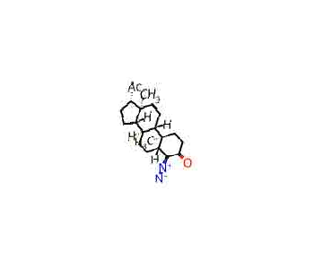 CC(=O)[C@H]1CC[C@H]2[C@@H]3CC[C@H]4C(=[N+]=[N-])C(=O)CC[C@]4(C)[C@H]3CC[C@]12C